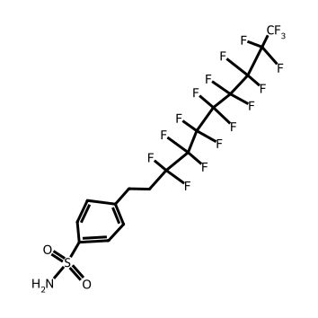 NS(=O)(=O)c1ccc(CCC(F)(F)C(F)(F)C(F)(F)C(F)(F)C(F)(F)C(F)(F)C(F)(F)C(F)(F)F)cc1